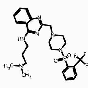 CN(C)CCCNc1nc(CN2CCN(S(=O)(=O)c3ccccc3C(F)(F)F)CC2)nc2ccccc12